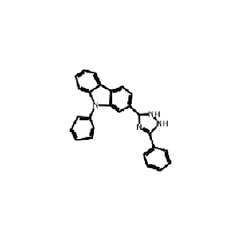 c1ccc(C2=NC(c3ccc4c5ccccc5n(-c5ccccc5)c4c3)NN2)cc1